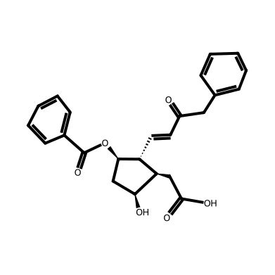 O=C(O)C[C@@H]1[C@@H](C=CC(=O)Cc2ccccc2)[C@H](OC(=O)c2ccccc2)C[C@@H]1O